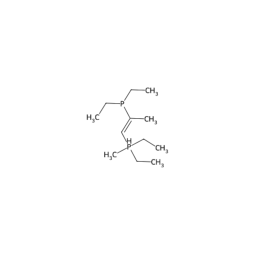 CCP(CC)C(C)=C[PH](C)(CC)CC